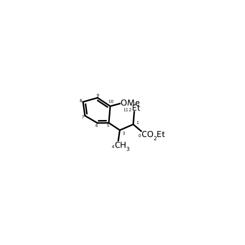 CCOC(=O)C(CC)C(C)c1ccccc1OC